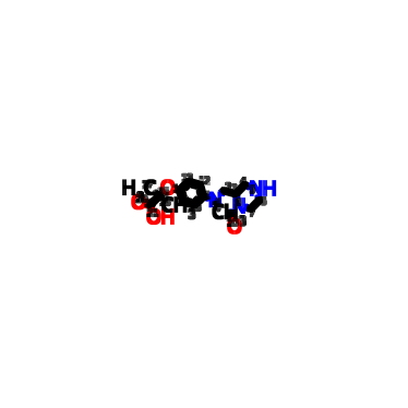 CN(CC1CNCCN1C=O)c1ccc(OC(C)(C)C(=O)O)cc1